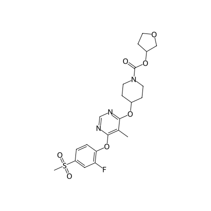 Cc1c(Oc2ccc(S(C)(=O)=O)cc2F)ncnc1OC1CCN(C(=O)OC2CCOC2)CC1